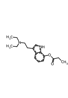 CCC(=O)Oc1cccc2c(CCN(CC)CC)c[nH]c12